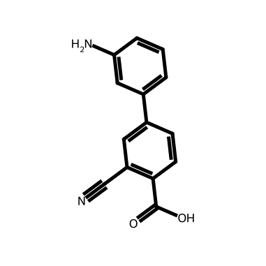 N#Cc1cc(-c2cccc(N)c2)ccc1C(=O)O